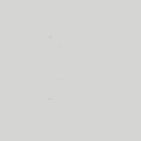 CC(=O)CC(=O)O.CC(=O)CC(=O)O.CC(O)COC(C)COC(C)CO